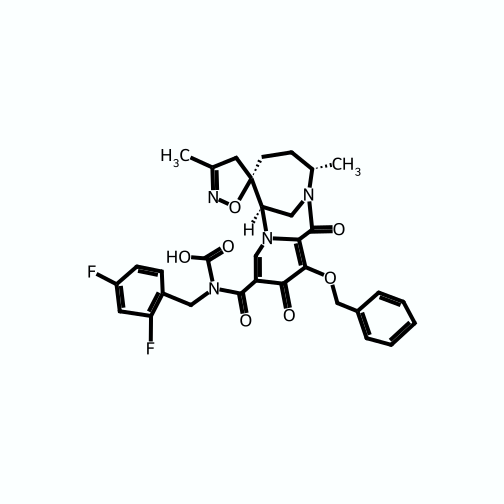 CC1=NO[C@@]2(CC[C@H](C)N3C[C@H]2n2cc(C(=O)N(Cc4ccc(F)cc4F)C(=O)O)c(=O)c(OCc4ccccc4)c2C3=O)C1